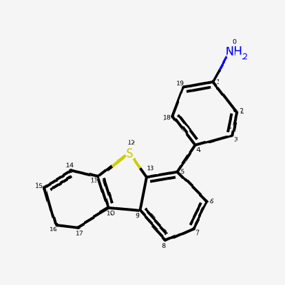 Nc1ccc(-c2cccc3c4c(sc23)C=CCC4)cc1